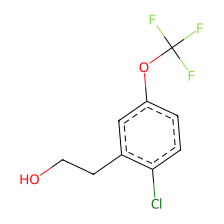 OCCc1cc(OC(F)(F)F)ccc1Cl